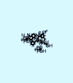 CCOc1cc(CC)cc(C(Nc2ccc3c(N)nccc3c2)c2nc(-c3ccccc3)cn2CC(=O)NCCO)c1F.O=C(O)C(F)(F)F.O=C(O)C(F)(F)F